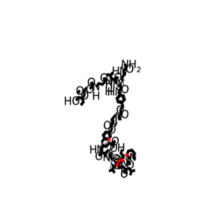 CCC(CO)OC(COC(=O)NCCC(=O)N[C@@H](C(=O)N[C@H](CCCNC(N)=O)C(=O)Nc1ccc(COC(=O)N(C)CCN(C)C(=O)Oc2ccc(C[C@@H](C[C@H](C)C(=O)O)NC(=O)c3csc([C@@H](C[C@H](C(C)C)N(CCC(=O)CC(C)C)C(=O)[C@@H](NC(=O)[C@H]4CCCCN4C)[C@@H](C)CC)OC(C)=O)n3)cc2)cc1)C(C)C)OC